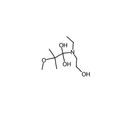 CCN(CCO)C(O)(O)C(C)(C)OC